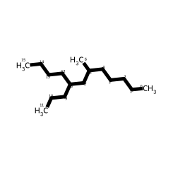 CCCCCC(C)[CH]C(CCC)CCCC